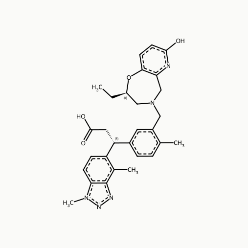 CC[C@@H]1CN(Cc2cc([C@@H](CC(=O)O)c3ccc4c(nnn4C)c3C)ccc2C)Cc2nc(O)ccc2O1